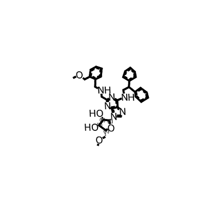 COCc1ccccc1CNCc1nc(NCC(c2ccccc2)c2ccccc2)c2ncn([C@@H]3O[C@H](COC)[C@@H](O)[C@H]3O)c2n1